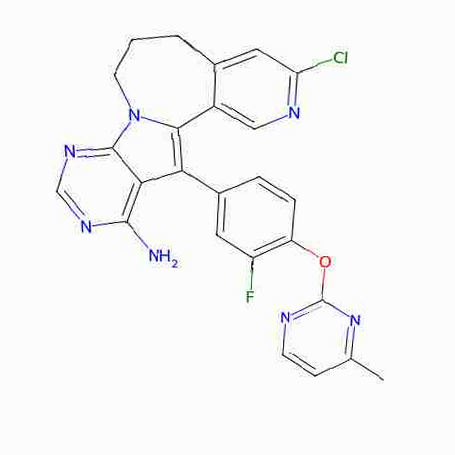 Cc1ccnc(Oc2ccc(-c3c4n(c5ncnc(N)c35)CCCc3cc(Cl)ncc3-4)cc2F)n1